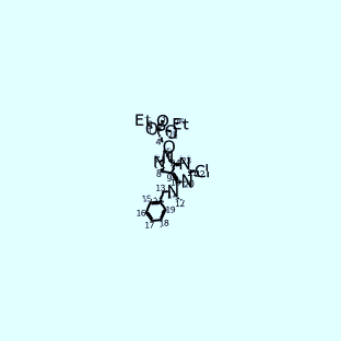 CCOP(=O)(COn1ncc2c(N(C)Cc3ccccc3)nc(Cl)nc21)OCC